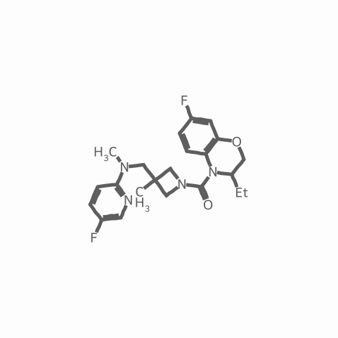 CCC1COc2cc(F)ccc2N1C(=O)N1CC(C)(CN(C)c2ccc(F)cn2)C1